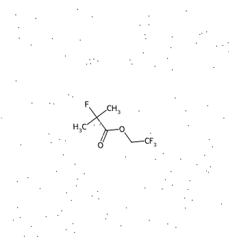 CC(C)(F)C(=O)OCC(F)(F)F